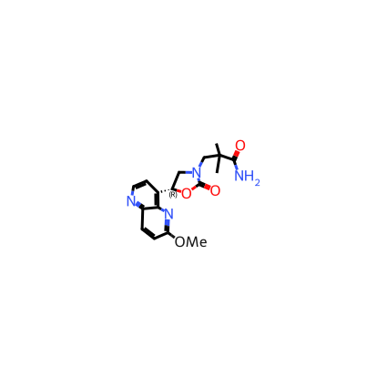 COc1ccc2nccc([C@@H]3CN(CC(C)(C)C(N)=O)C(=O)O3)c2n1